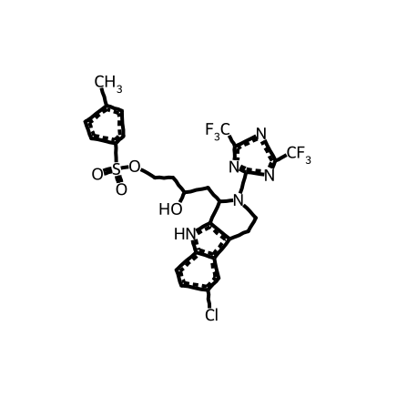 Cc1ccc(S(=O)(=O)OCCC(O)CC2c3[nH]c4ccc(Cl)cc4c3CCN2c2nc(C(F)(F)F)nc(C(F)(F)F)n2)cc1